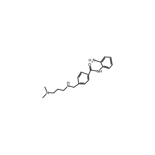 CN(C)CCCNCc1ccc(C(=O)Nc2ccccc2N)cc1